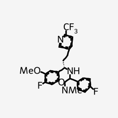 CNC(=O)C(N[C@@H](CCc1ccc(C(F)(F)F)nc1)c1ccc(F)c(OC)c1)c1ccc(F)cc1